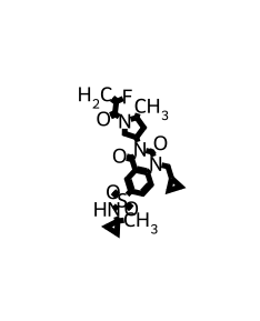 C=C(F)C(=O)N1CC(n2c(=O)c3cc(S(=O)(=O)NC4(C)CC4)ccc3n(CC3CC3)c2=O)CC1C